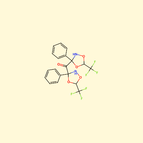 O=C(C1(c2ccccc2)NOC(C(F)(F)F)O1)C1(c2ccccc2)NOC(C(F)(F)F)O1